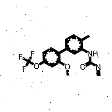 C=NC(=O)Nc1cc(-c2ccc(OC(F)(F)F)cc2OC)ccc1C